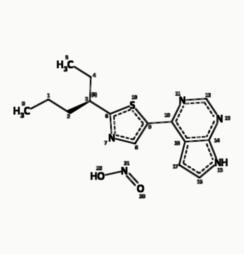 CCC[C@@H](CC)c1ncc(-c2ncnc3[nH]ccc23)s1.O=NO